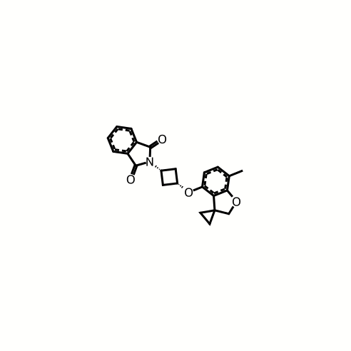 Cc1ccc(O[C@H]2C[C@@H](N3C(=O)c4ccccc4C3=O)C2)c2c1OCC21CC1